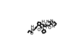 C=CC(=O)NCC#Cc1cccc2cc([C@H](C)NC(=O)c3c(N)nn4cccnc34)n(-c3ccccc3)c(=O)c12